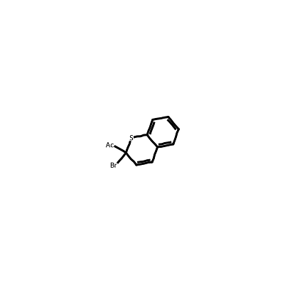 CC(=O)C1(Br)C=Cc2ccccc2S1